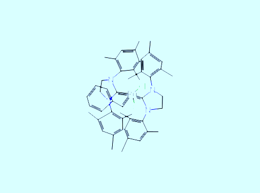 Cc1cc(C)c(N2CCN(c3c(C)cc(C)cc3C)[C]2=[Ru-6]([Cl])([Cl])(=[CH]c2ccccc2)=[C]2N(c3c(C)cc(C)cc3C)CCN2c2c(C)cc(C)cc2C)c(C)c1